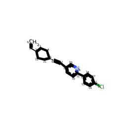 C=C[C@H]1CC[C@H](C#Cc2ccc(-c3ccc(Cl)cc3)nc2)CC1